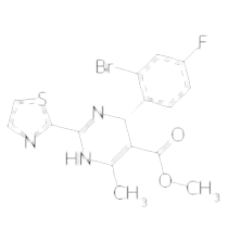 COC(=O)C1=C(C)NC(c2nccs2)=N[C@@H]1c1ccc(F)cc1Br